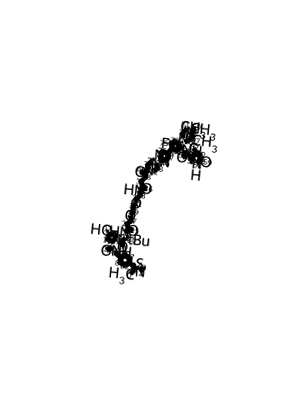 Cc1ncsc1-c1ccc(CNC(=O)[C@@H]2C[C@@H](O)CN2C(=O)C(NC(=O)CCOCCOCCNC(=O)CCC(=O)N2CCN(c3ncc(-c4cc(NC(=O)c5c[nH]c(=O)cc5C(F)(F)F)c(N5C[C@@H](C)N(C)[C@@H](C)C5)cc4F)cn3)CC2)C(C)(C)C)cc1